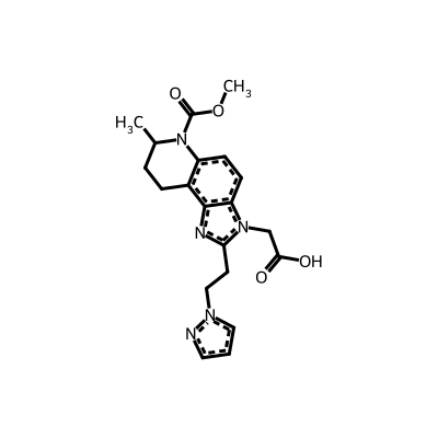 COC(=O)N1c2ccc3c(nc(CCn4cccn4)n3CC(=O)O)c2CCC1C